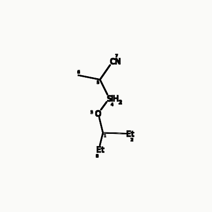 CCC(CC)O[SiH2]C(C)C#N